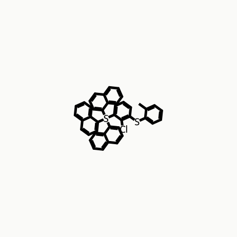 Cc1ccccc1Sc1cccc(S(c2cccc3ccccc23)(c2cccc3ccccc23)c2cccc3ccccc23)c1Cl